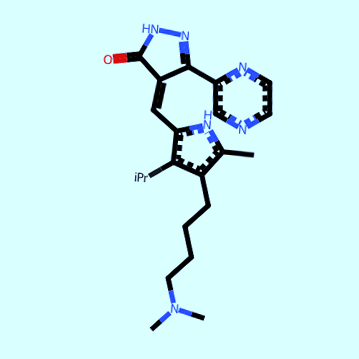 Cc1[nH]c(/C=C2/C(=O)NN=C2c2cnccn2)c(C(C)C)c1CCCCN(C)C